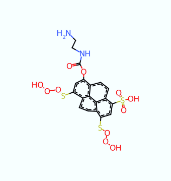 NCCNC(=O)Oc1cc(SOOO)c2ccc3c(SOOO)cc(S(=O)(=O)O)c4ccc1c2c34